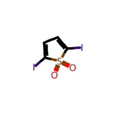 O=S1(=O)C(I)=CC=C1I